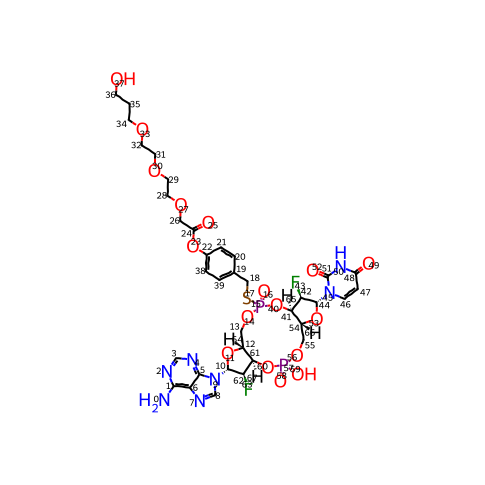 Nc1ncnc2c1ncn2[C@@H]1O[C@@H]2COP(=O)(SCc3ccc(OC(=O)COCCOCCOCCCO)cc3)O[C@H]3[C@@H](F)[C@H](n4ccc(=O)[nH]c4=O)O[C@@H]3COP(=O)(O)O[C@H]2[C@H]1F